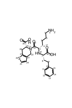 NCCCC[C@H](N[C@@H](CCc1ccccc1)C(=O)O)C(=O)N1Cc2ccsc2C[C@@H]1C(=O)O